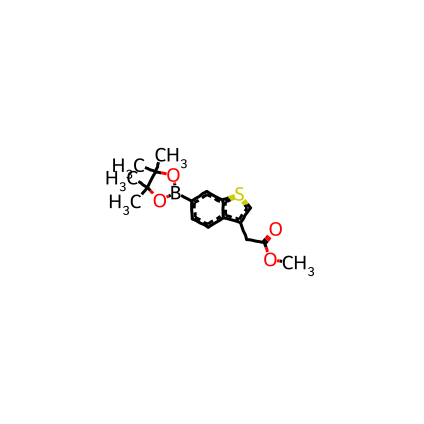 COC(=O)Cc1csc2cc(B3OC(C)(C)C(C)(C)O3)ccc12